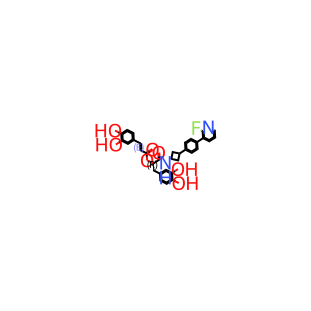 O=C(/C=C/c1ccc(O)c(O)c1)O[C@H](Cc1ccc(O)c(O)c1)C(=O)NC1CC(c2ccc(-c3cccnc3F)cc2)C1